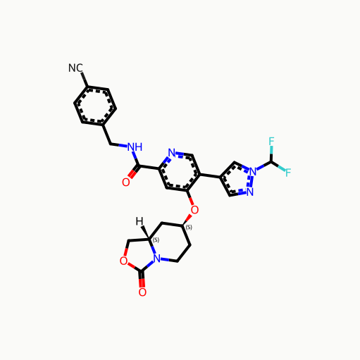 N#Cc1ccc(CNC(=O)c2cc(O[C@H]3CCN4C(=O)OC[C@@H]4C3)c(-c3cnn(C(F)F)c3)cn2)cc1